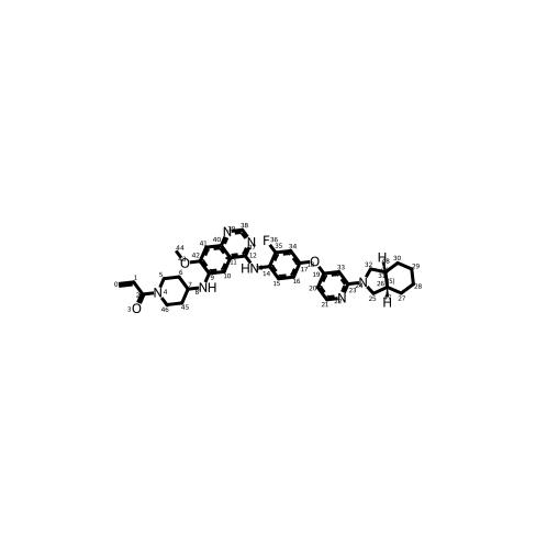 C=CC(=O)N1CCC(Nc2cc3c(Nc4ccc(Oc5ccnc(N6C[C@H]7CCCC[C@H]7C6)c5)cc4F)ncnc3cc2OC)CC1